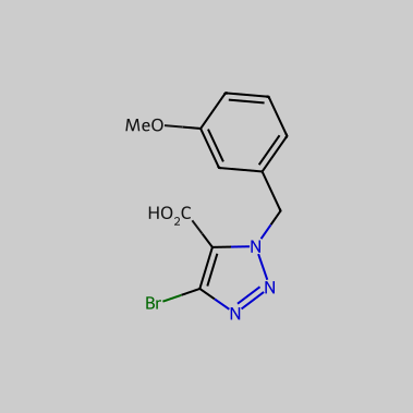 COc1cccc(Cn2nnc(Br)c2C(=O)O)c1